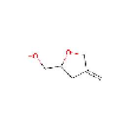 C=C1COC(CO)C1